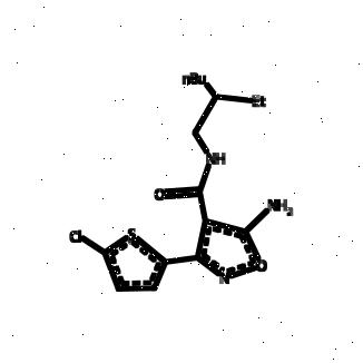 CCCCC(CC)CNC(=O)c1c(-c2ccc(Cl)s2)noc1N